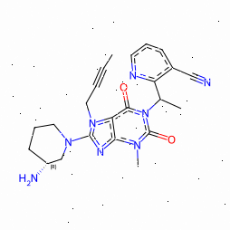 CC#CCn1c(N2CCC[C@@H](N)C2)nc2c1c(=O)n(C(C)c1ncccc1C#N)c(=O)n2C